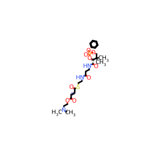 CN(C)CCOC(=O)/C=C/C(=O)SCCNC(=O)CCNC(=O)[C@@H]1OP(=O)(Oc2ccccc2)OCC1(C)C